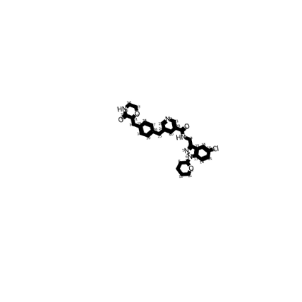 O=C(NCc1nn(C2CCCCO2)c2ccc(Cl)cc12)c1cncc(Cc2ccc(CC3OCCNC3=O)cc2)c1